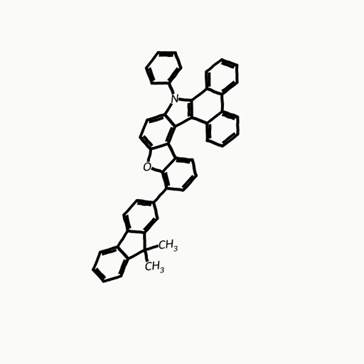 CC1(C)c2ccccc2-c2ccc(-c3cccc4c3oc3ccc5c(c34)c3c4ccccc4c4ccccc4c3n5-c3ccccc3)cc21